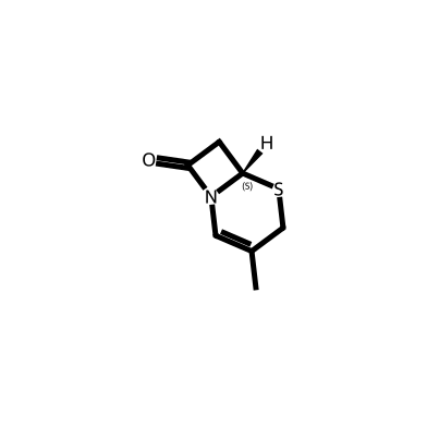 CC1=CN2C(=O)C[C@@H]2SC1